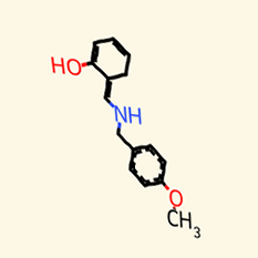 COc1ccc(CNC=C2CC=CC=C2O)cc1